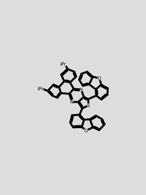 CC(C)c1ccc2c(c1)c1cc(C(C)C)ccc1c1nc3c(-c4cccc5oc6ccccc6c45)sc(-c4cccc5oc6ccccc6c45)c3nc21